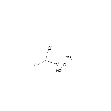 CC(C)O.ClC(Cl)Cl.N